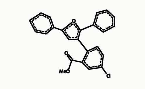 COC(=O)c1cc(Cl)ccc1-c1cc(-c2ccccc2)oc1-c1ccccc1